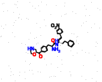 N[C@@H](Cc1ccc(C(=O)C2CNCCO2)cc1)C(=O)N[C@H](C=Cc1ccc([N+](=O)[O-])cc1)CCc1ccccc1